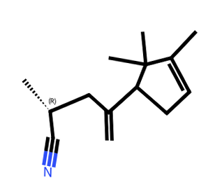 C=C(C[C@@H](C)C#N)C1CC=C(C)C1(C)C